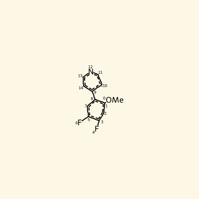 COc1cc(F)c(F)cc1-c1[c]cncc1